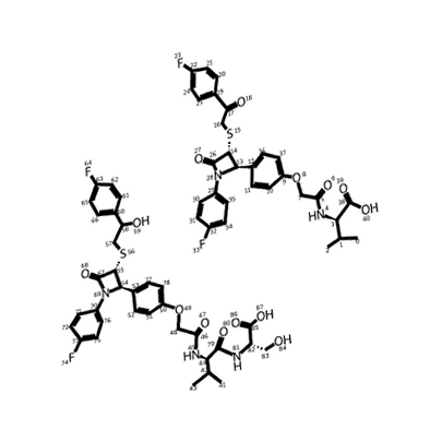 CC(C)[C@@H](NC(=O)COc1ccc([C@@H]2[C@@H](SCC(=O)c3ccc(F)cc3)C(=O)N2c2ccc(F)cc2)cc1)C(=O)O.CC(C)[C@@H](NC(=O)COc1ccc([C@@H]2[C@@H](SCC(O)c3ccc(F)cc3)C(=O)N2c2ccc(F)cc2)cc1)C(=O)N[C@@H](CO)C(=O)O